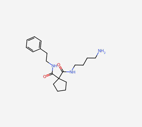 NCCCCNC(=O)C1(C(=O)NCCc2ccccc2)CCCC1